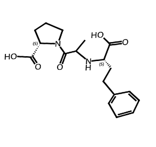 CC(N[C@@H](CCc1ccccc1)C(=O)O)C(=O)N1CCC[C@H]1C(=O)O